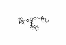 C=C(C)C(=O)OCCCc1ccc(-c2ccc(-c3ccc(CCC(CC)(CO)CO)cc3CC)c(OCCOC(=O)C(=C)C)c2F)cc1